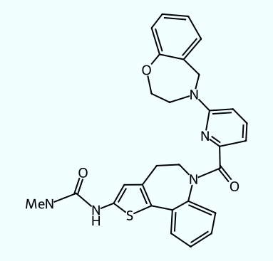 CNC(=O)Nc1cc2c(s1)-c1ccccc1N(C(=O)c1cccc(N3CCOc4ccccc4C3)n1)CC2